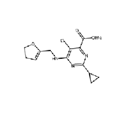 COC(=O)c1nc(C2CC2)nc(NCC2=CCCO2)c1Cl